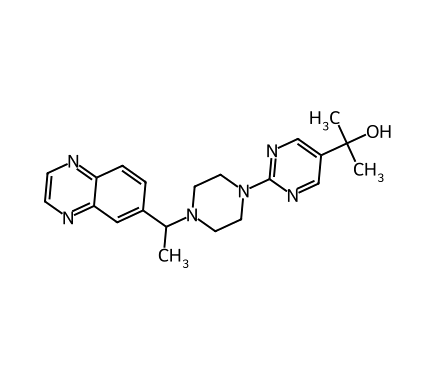 CC(c1ccc2nccnc2c1)N1CCN(c2ncc(C(C)(C)O)cn2)CC1